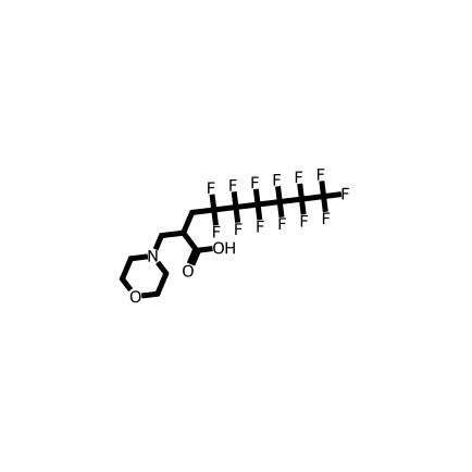 O=C(O)C(CN1CCOCC1)CC(F)(F)C(F)(F)C(F)(F)C(F)(F)C(F)(F)C(F)(F)F